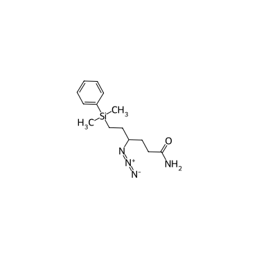 C[Si](C)(CCC(CCC(N)=O)N=[N+]=[N-])c1ccccc1